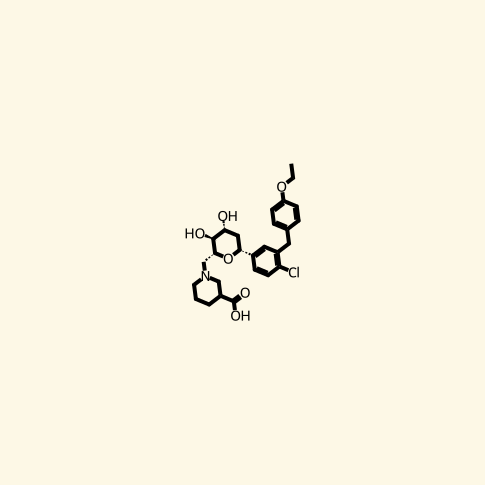 CCOc1ccc(Cc2cc([C@H]3C[C@@H](O)[C@H](O)[C@@H](CN4CCCC(C(=O)O)C4)O3)ccc2Cl)cc1